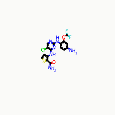 NC(=O)c1sccc1Nc1nc(Nc2ccc(N)cc2OC(F)F)ncc1Cl